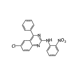 O=[N+]([O-])c1ccccc1Nc1nc(-c2ccccc2)c2cc(Cl)ccc2n1